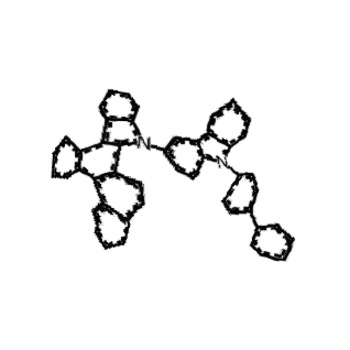 c1ccc(-c2ccc(-n3c4ccccc4c4cc(-n5c6ccccc6c6c7ccccc7c7c8ccccc8ccc7c65)ccc43)cc2)cc1